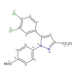 CCOC(=O)c1cc(-c2ccc(Cl)c(Cl)c2)n(-c2ccc(OC)cc2)n1